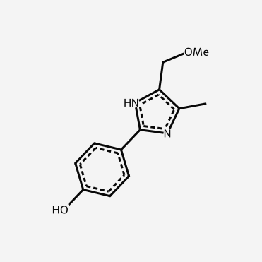 COCc1[nH]c(-c2ccc(O)cc2)nc1C